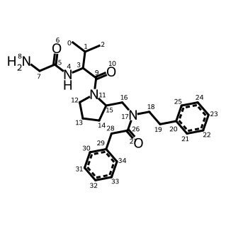 CC(C)C(NC(=O)CN)C(=O)N1CCCC1CN(CCc1ccccc1)C(=O)Cc1ccccc1